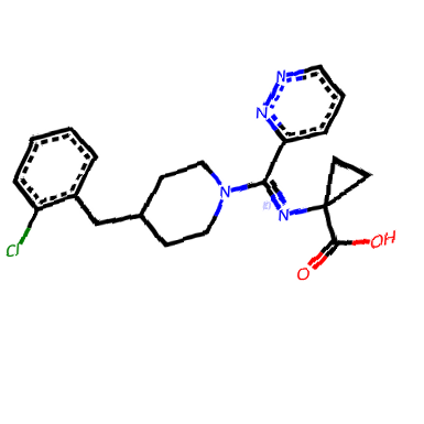 O=C(O)C1(/N=C(\c2cccnn2)N2CCC(Cc3ccccc3Cl)CC2)CC1